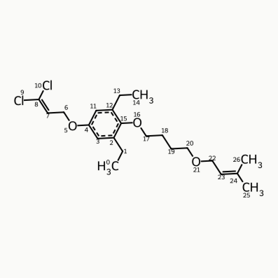 CCc1cc(OCC=C(Cl)Cl)cc(CC)c1OCCCCOCC=C(C)C